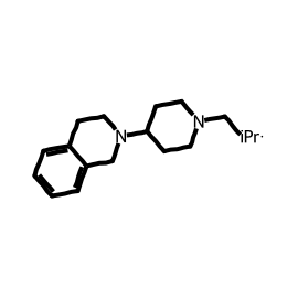 C[C](C)CN1CCC(N2CCc3ccccc3C2)CC1